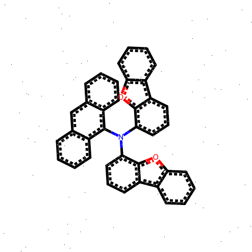 c1ccc2c(N(c3cccc4c3oc3ccccc34)c3cccc4c3oc3ccccc34)c3ccccc3cc2c1